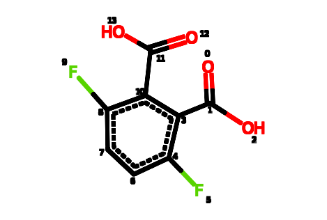 O=C(O)c1c(F)ccc(F)c1C(=O)O